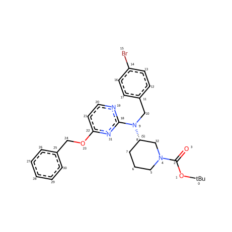 CC(C)(C)OC(=O)N1CCC[C@H](N(Cc2ccc(Br)cc2)c2nccc(OCc3ccccc3)n2)C1